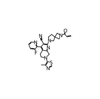 C=CC(=O)N1CC2(CCN(c3nc4c(c(-c5ncccc5F)c3C#N)CCN(c3scnc3C)C4)C2)C1